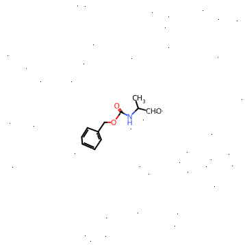 CC([C]=O)NC(=O)OCc1ccccc1